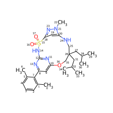 Cc1cccc(C)c1-c1cc2nc(n1)NS(=O)(=O)c1cc(n(C)n1)NCC(CC(C)C)(CC(C)C)CO2